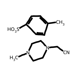 CN1CCN(CC#N)CC1.Cc1ccc(S(=O)(=O)O)cc1